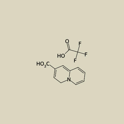 O=C(O)C(F)(F)F.O=C(O)C1=CCN2C=CC=CC2=C1